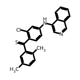 Cc1ccc(C)c(C(=S)c2ccc(Nc3cncc4ccccc34)cc2Cl)c1